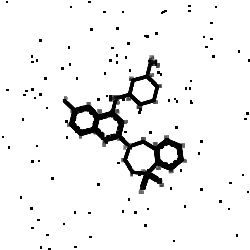 Cc1ccc2nc(N3CCS(=O)(=O)c4ccccc4C3)cc(NC3CCCC(N)C3)c2c1